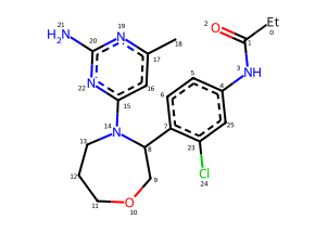 CCC(=O)Nc1ccc(C2COCCCN2c2cc(C)nc(N)n2)c(Cl)c1